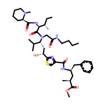 CCCCNC(=O)CN(C(=O)[C@@H](NC(=O)[C@H]1CCCCN1C)[C@@H](C)CC)[C@H](C[C@@H](O)c1nc(C(=O)N[C@@H](Cc2ccccc2)C[C@H](C)C(=O)OC)cs1)C(C)C